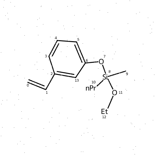 C=Cc1cccc(O[Si](C)(CCC)OCC)c1